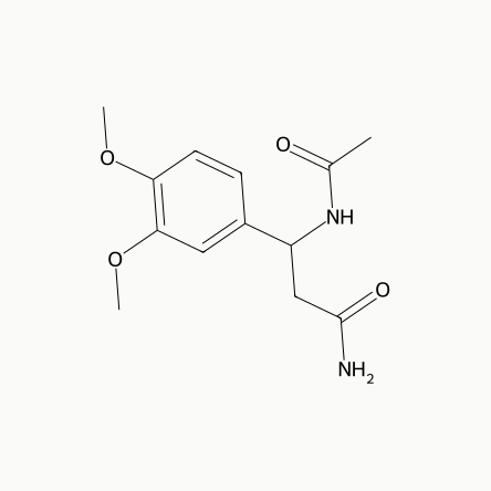 COc1ccc(C(CC(N)=O)NC(C)=O)cc1OC